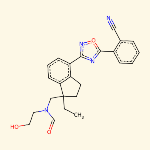 CCC1(CN(C=O)CCO)CCc2c(-c3noc(-c4ccccc4C#N)n3)cccc21